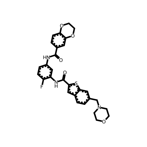 O=C(Nc1ccc(F)c(NC(=O)c2cc3ccc(CN4CCOCC4)cc3s2)c1)c1ccc2c(c1)OCCO2